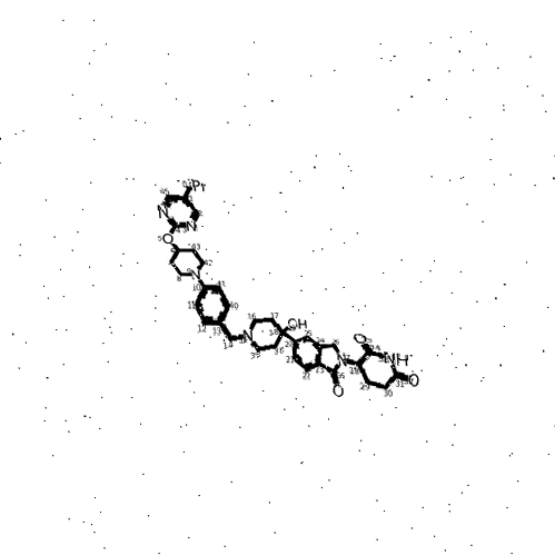 CC(C)c1cnc(OC2CCN(c3ccc(CN4CCC(O)(c5ccc6c(c5)CN(C5CCC(=O)NC5=O)C6=O)CC4)cc3)CC2)nc1